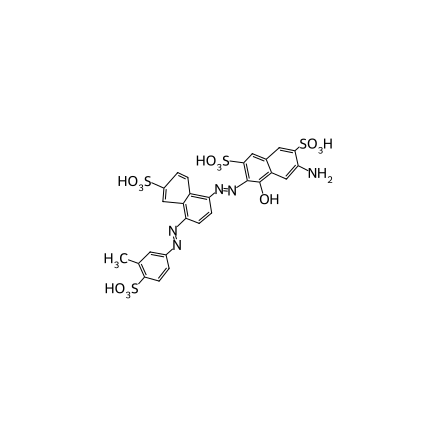 Cc1cc(N=Nc2ccc(N=Nc3c(S(=O)(=O)O)cc4cc(S(=O)(=O)O)c(N)cc4c3O)c3ccc(S(=O)(=O)O)cc23)ccc1S(=O)(=O)O